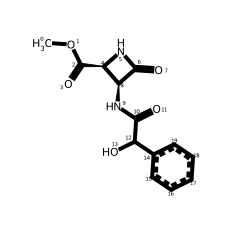 COC(=O)[C@H]1NC(=O)[C@H]1NC(=O)C(O)c1ccccc1